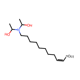 CCCCCCCC/C=C\CCCCCCCCN(C(C)O)C(C)O